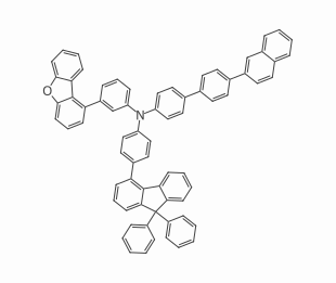 c1ccc(C2(c3ccccc3)c3ccccc3-c3c(-c4ccc(N(c5ccc(-c6ccc(-c7ccc8ccccc8c7)cc6)cc5)c5cccc(-c6cccc7oc8ccccc8c67)c5)cc4)cccc32)cc1